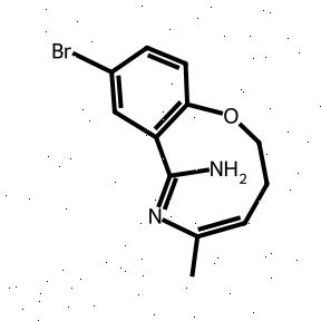 CC1=C/CCOc2ccc(Br)cc2\C(N)=N\1